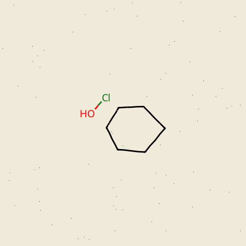 C1CCCCC1.OCl